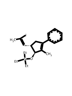 CC[Si](CC)(CC)O[C@@H]1C(C)=C(c2ccccc2)C[C@H]1/C=C(/C)I